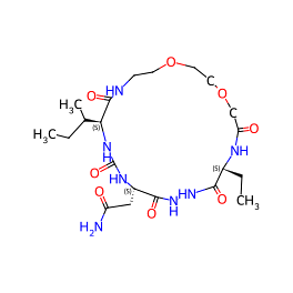 CCC(C)[C@@H]1NC(=O)N[C@@H](CC(N)=O)C(=O)NNC(=O)[C@H](CC)NC(=O)COCCOCCNC1=O